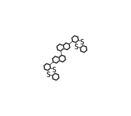 c1ccc2c(c1)Sc1cccc(-c3ccc4c(-c5cccc6cc(-c7cccc8c7Sc7ccccc7S8)ccc56)cccc4c3)c1S2